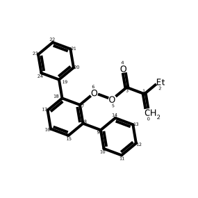 C=C(CC)C(=O)OOc1c(-c2ccccc2)cccc1-c1ccccc1